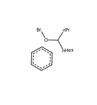 CCCCCCC(CCC)OBr.c1ccccc1